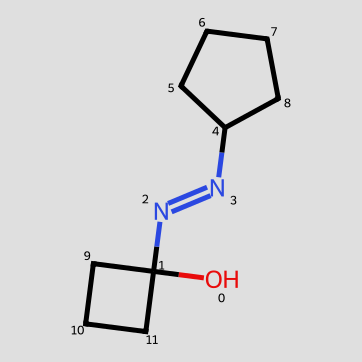 OC1(N=NC2CCCC2)CCC1